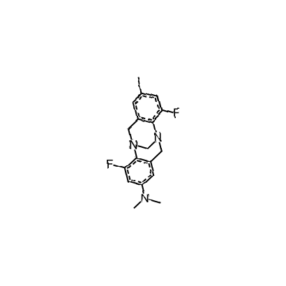 Cc1cc(F)c2c(c1)CN1CN2Cc2cc(N(C)C)cc(F)c21